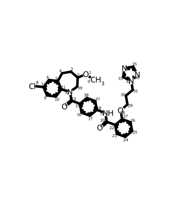 COC1CCc2cc(Cl)ccc2N(C(=O)c2ccc(NC(=O)c3ccccc3OCCCn3cncn3)cc2)C1